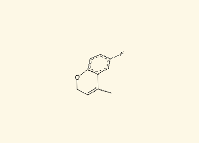 CC1=CCOc2ccc(F)cc21